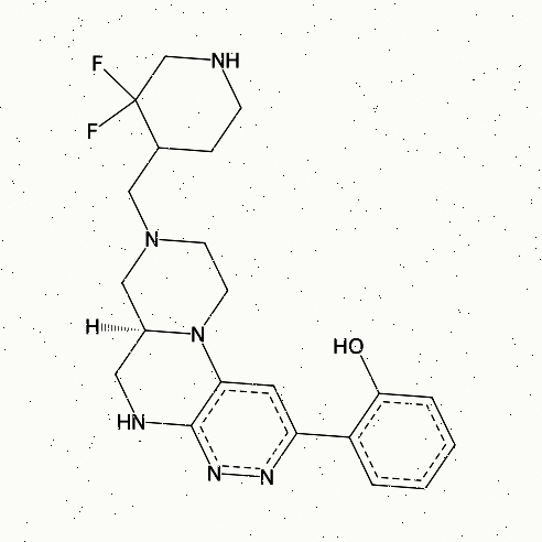 Oc1ccccc1-c1cc2c(nn1)NC[C@H]1CN(CC3CCNCC3(F)F)CCN21